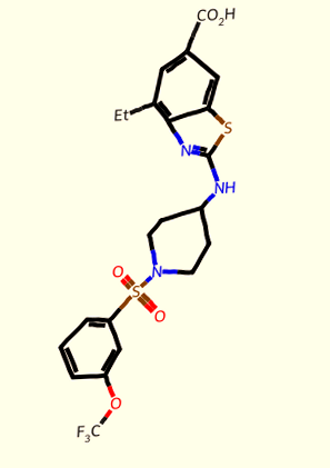 CCc1cc(C(=O)O)cc2sc(NC3CCN(S(=O)(=O)c4cccc(OC(F)(F)F)c4)CC3)nc12